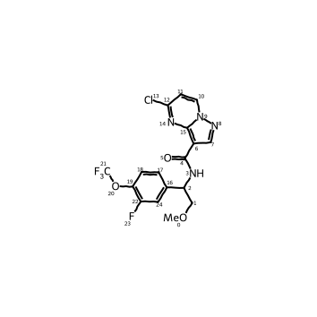 COCC(NC(=O)c1cnn2ccc(Cl)nc12)c1ccc(OC(F)(F)F)c(F)c1